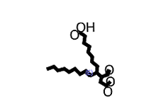 CCCCCCC/C=C/C(CCCCCCCC(=O)O)C1CC(=O)OC1=O